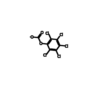 [O]C(=O)Oc1c(Cl)c(Cl)c(Cl)c(Cl)c1Cl